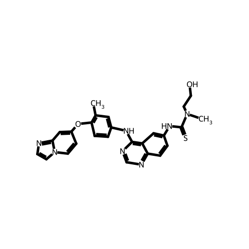 Cc1cc(Nc2ncnc3ccc(NC(=S)N(C)CCO)cc23)ccc1Oc1ccn2ccnc2c1